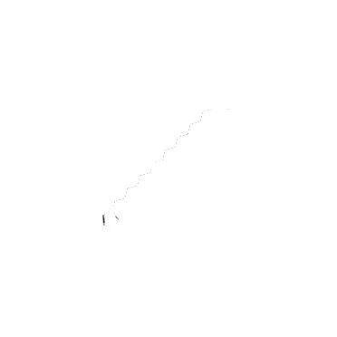 CCCCCCCCCCCCCCCCCCOCCCCCC[n+]1ccsc1.[I-]